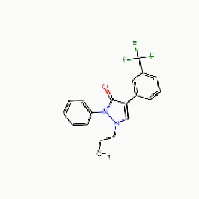 CCCn1cc(-c2cccc(C(F)(F)F)c2)c(=O)n1-c1ccccc1